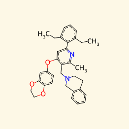 CCc1cccc(CC)c1-c1cc(Oc2ccc3c(c2)OCCO3)c(CN2CCc3ccccc3C2)c(C)n1